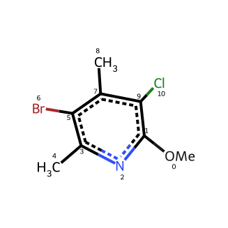 COc1nc(C)c(Br)c(C)c1Cl